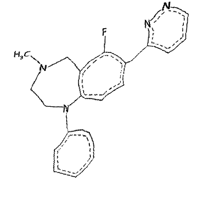 CN1CCN(c2ccccc2)c2ccc(-c3cccnn3)c(F)c2C1